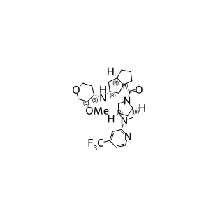 CO[C@@H]1COCC[C@@H]1N[C@@H]1C[C@H]2CCC[C@@]2(C(=O)N2C[C@H]3C[C@@H]2CN3c2cc(C(F)(F)F)ccn2)C1